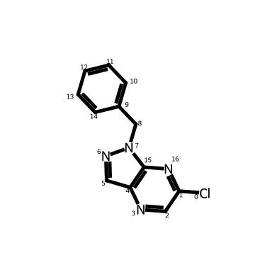 Clc1cnc2cnn(Cc3ccccc3)c2n1